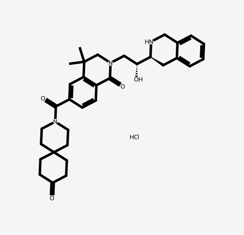 CC1(C)CN(C[C@@H](O)[C@@H]2Cc3ccccc3CN2)C(=O)c2ccc(C(=O)N3CCC4(CCC(=O)CC4)CC3)cc21.Cl